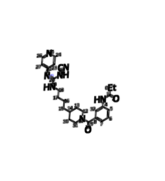 CCC(=O)Nc1cccc(C(=O)N2CCC(CCCCN/C(=N/c3ccncc3)NC#N)CC2)c1